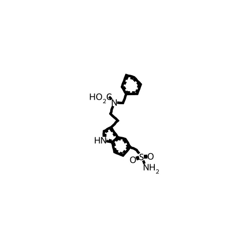 NS(=O)(=O)Cc1ccc2[nH]cc(CCN(Cc3ccccc3)C(=O)O)c2c1